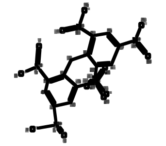 O=[N+]([O-])c1cc([N+](=O)[O-])c(Cc2c([N+](=O)[O-])cc([N+](=O)[O-])cc2[N+](=O)[O-])c([N+](=O)[O-])c1